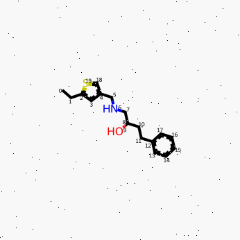 CCc1cc(CNCC(O)[CH]Cc2ccccc2)cs1